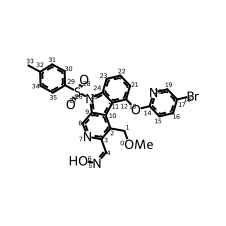 COCc1c(/C=N\O)ncc2c1c1c(Oc3ccc(Br)cn3)cccc1n2S(=O)(=O)c1ccc(C)cc1